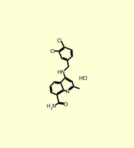 Cc1cc(NCc2ccc(Cl)c(Cl)c2)c2cccc(C(N)=O)c2n1.Cl